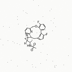 CS(=O)(=O)N[C@@H]1C[C@]2(Cc3ccc(F)c(c3)-c3cccc(F)c3OCc3ccnc2n3)[C@H]2C[C@@H]12